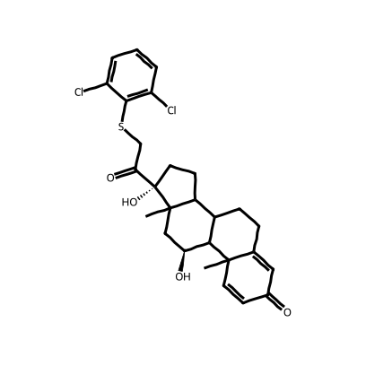 CC12C=CC(=O)C=C1CCC1C2[C@@H](O)CC2(C)C1CC[C@]2(O)C(=O)CSc1c(Cl)cccc1Cl